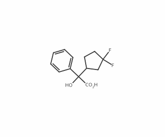 O=C(O)C(O)(c1ccccc1)C1CCC(F)(F)C1